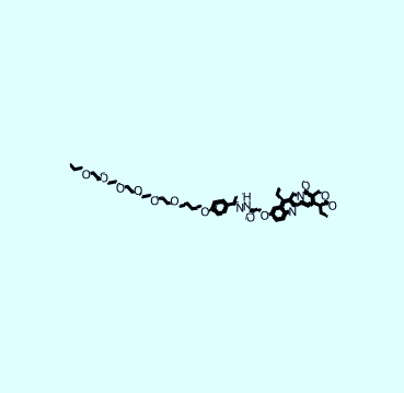 CCCOCCOCCOCCOCCOCCOCCCCOc1ccc(/C(C)=N/NC(=O)COc2ccc3nc4c(c(CC)c3c2)Cn2c-4cc3c(c2=O)COC(=O)C3CC)cc1